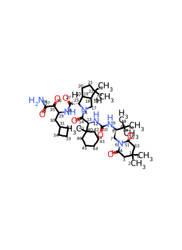 CC1(C)CC(=O)N(C[C@@H](NC(=O)N[C@H](C(=O)N2C[C@H]3[C@H](CCC3(C)C)[C@H]2C(=O)NC(CC2CCC2)C(=O)C(N)=O)C2(C)CCCCC2)C(C)(C)C)C(=O)C1